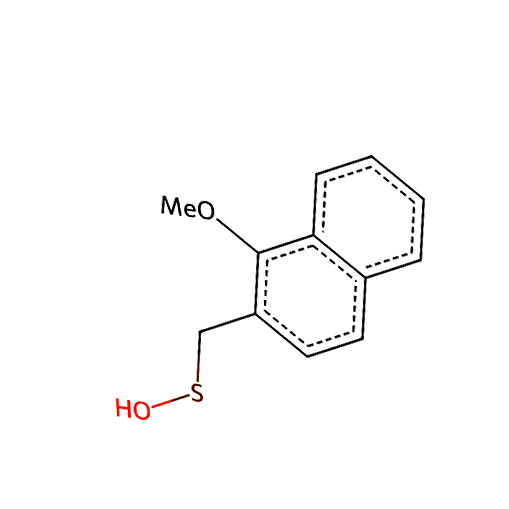 COc1c(CSO)ccc2ccccc12